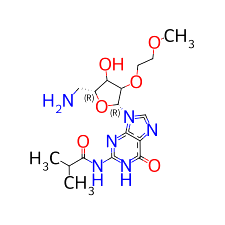 COCCOC1C(O)[C@@H](CN)O[C@H]1n1cnc2c(=O)[nH]c(NC(=O)C(C)C)nc21